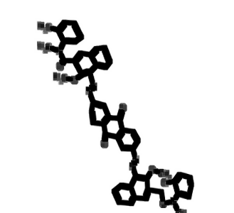 COc1c(CON(C)c2ccccc2Cl)cc2ccccc2c1N=Nc1ccc2c(c1)C(=O)c1ccc(N=Nc3c(OC)c(C(=O)N(C)c4ccccc4C)cc4ccccc34)cc1C2=O